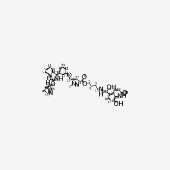 Cn1nc(C(=O)OCCCCNC[C@H](O)c2ccc(O)c3[nH]c(=O)ccc23)cc1COc1cccc(C(NC(=O)O[C@H]2CN3CCC2CC3)c2ccccc2)c1